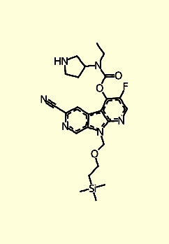 CCN(C(=O)Oc1c(F)cnc2c1c1cc(C#N)ncc1n2COCC[Si](C)(C)C)C1CCNC1